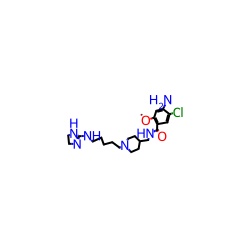 COc1cc(N)c(Cl)cc1C(=O)NCC1CCN(CCCCCNC2=NCCN2)CC1